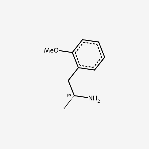 COc1ccccc1C[C@@H](C)N